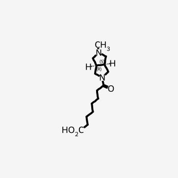 CN1C[C@@H]2CN(C(=O)CCCCCCC(=O)O)C[C@@H]2C1